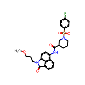 COCCCN1C(=O)c2cccc3c(NC(=O)C4CCCN(S(=O)(=O)c5ccc(F)cc5)C4)ccc1c23